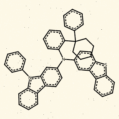 c1ccc(-n2c3ccccc3c3ccc(N(c4ccc5sc6ccccc6c5c4)c4ccccc4C4(c5ccccc5)CCCCC4)cc32)cc1